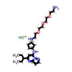 CCC(CC)c1cc(N[C@H]2CC[C@H](NCCOCCOCCOCCN)C2)n2nccc2n1.Cl